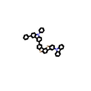 c1ccc(-c2ccc3c(c2)c2cc(-c4ccc5sc6ccc7c8cc(-n9c%10ccccc%10c%10ccccc%109)ccc8sc7c6c5c4)ccc2n3-c2ccccc2)cc1